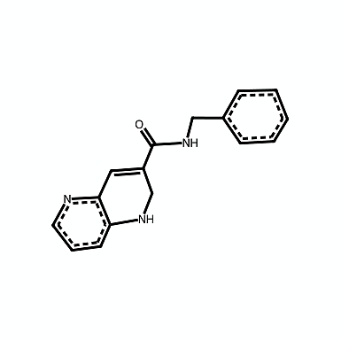 O=C(NCc1ccccc1)C1=Cc2ncccc2NC1